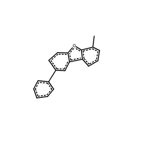 Cc1cccc2c1oc1ccc(-c3ccccc3)cc12